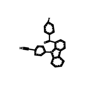 C#Cc1ccc(-n2c3ccccc3c3cccc(C(=O)c4ccc(F)cc4)c32)cc1